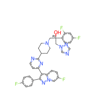 O[C@](CN1CCC(c2nccc(-c3c(-c4ccc(F)cc4)nn4cc(F)ccc34)n2)CC1)(Cn1cncn1)c1ccc(F)cc1F